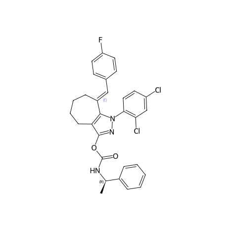 C[C@@H](NC(=O)Oc1nn(-c2ccc(Cl)cc2Cl)c2c1CCCC/C2=C\c1ccc(F)cc1)c1ccccc1